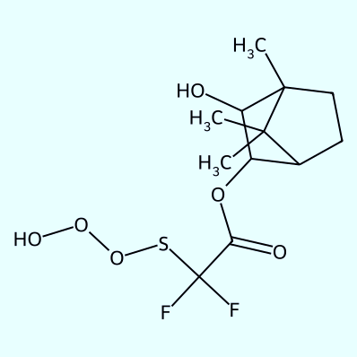 CC1(C)C2CCC1(C)C(O)C2OC(=O)C(F)(F)SOOO